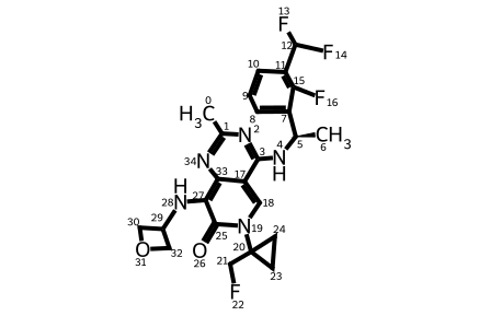 Cc1nc(N[C@H](C)c2cccc(C(F)F)c2F)c2cn(C3(CF)CC3)c(=O)c(NC3COC3)c2n1